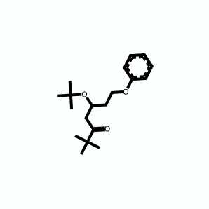 CC(C)(C)OC(CCOc1ccccc1)CC(=O)C(C)(C)C